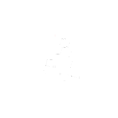 CCC(C)(C)CCCCc1cc(O)ccc1CCCCCC(C)(C)C